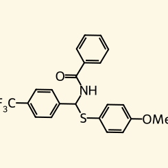 COc1ccc(SC(NC(=O)c2ccccc2)c2ccc(C(F)(F)F)cc2)cc1